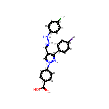 O=C(O)c1ccc(-n2cc(/C=N/Nc3ccc(F)cc3)c(-c3ccc(I)cc3)n2)cc1